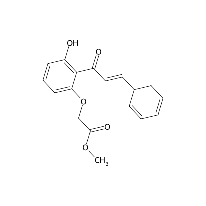 COC(=O)COc1cccc(O)c1C(=O)C=CC1C=CC=CC1